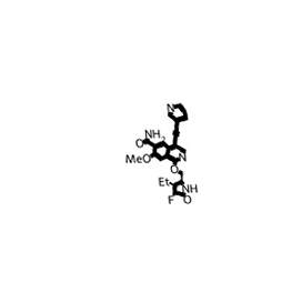 CC[C@@H]1[C@H](F)C(=O)N[C@@H]1COc1ncc(C#Cc2cccnc2)c2cc(C(N)=O)c(OC)cc12